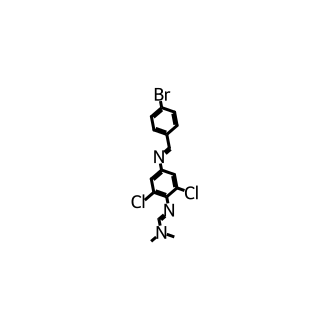 CN(C)C=Nc1c(Cl)cc(N=Cc2ccc(Br)cc2)cc1Cl